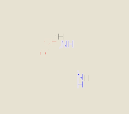 [2H]NCCCCC(N[2H])C(=O)O